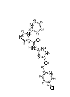 O=C(Nc1nnc(OCc2ccc(Cl)cn2)s1)c1cncn1-c1ccccn1